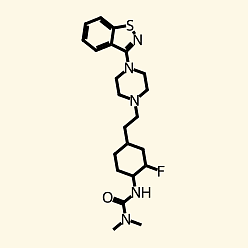 CN(C)C(=O)NC1CCC(CCN2CCN(c3nsc4ccccc34)CC2)CC1F